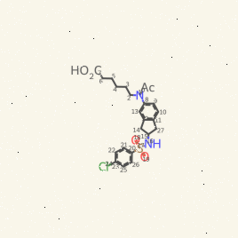 CC(=O)N(CCCCCC(=O)O)c1ccc2c(c1)CC(NS(=O)(=O)c1ccc(Cl)cc1)C2